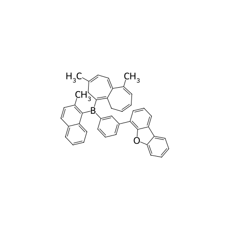 CC1=CC=C2C(C)=CC=CCC2=C(B(c2cccc(-c3cccc4c3oc3ccccc34)c2)c2c(C)ccc3ccccc23)C1